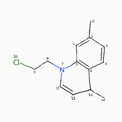 Cc1ccc2c(c1)N(CCCl)C=CC2C